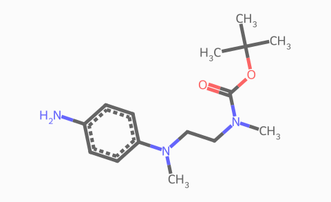 CN(CCN(C)c1ccc(N)cc1)C(=O)OC(C)(C)C